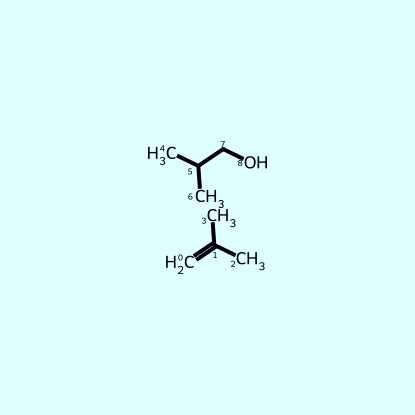 C=C(C)C.CC(C)CO